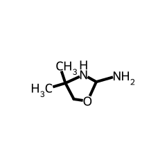 CC1(C)COC(N)N1